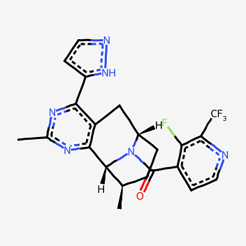 Cc1nc(-c2ccn[nH]2)c2c(n1)[C@H]1[C@H](C)CC[C@@H](C2)N1C(=O)c1ccnc(C(F)(F)F)c1F